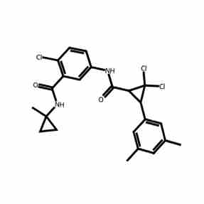 Cc1cc(C)cc(C2C(C(=O)Nc3ccc(Cl)c(C(=O)NC4(C)CC4)c3)C2(Cl)Cl)c1